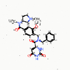 CN1CCC(N(C)C(=O)c2ccc(CN(Cc3ccccc3)C(=O)c3cc(=O)[nH]c(=O)[nH]3)c(OC(F)(F)F)c2)C1